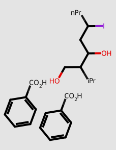 CCCC(I)CC(O)C(CO)C(C)C.O=C(O)c1ccccc1.O=C(O)c1ccccc1